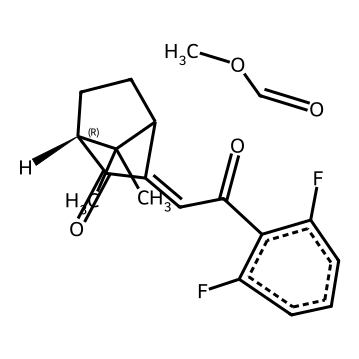 CC1(C)C2CC[C@H]1C(=O)C2=CC(=O)c1c(F)cccc1F.COC=O